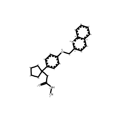 N#CNC(=O)CC1(c2ccc(OCc3ccc4ccccc4n3)cc2)CCCC1